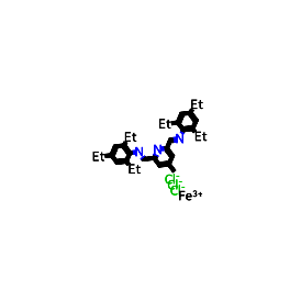 CCc1cc(CC)c(N=Cc2cc(C)cc(C=Nc3c(CC)cc(CC)cc3CC)n2)c(CC)c1.[Cl-].[Cl-].[Cl-].[Fe+3]